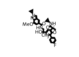 COc1cc(C(=O)NCC(O)(c2cc3c(c(-c4ccc(F)cc4)n2)OC[C@]3(C)C(=O)NC2CC2)C(F)(F)F)cc2cn(C3CC3)nc12